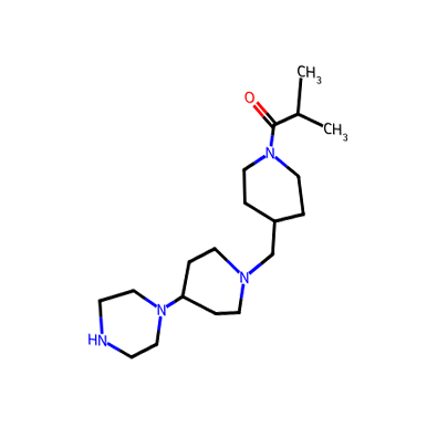 CC(C)C(=O)N1CCC(CN2CCC(N3CCNCC3)CC2)CC1